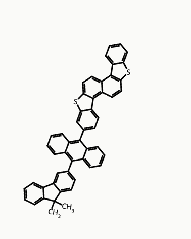 CC1(C)c2ccccc2-c2cc(-c3c4ccccc4c(-c4ccc5c(c4)sc4ccc6c(ccc7sc8ccccc8c76)c45)c4ccccc34)ccc21